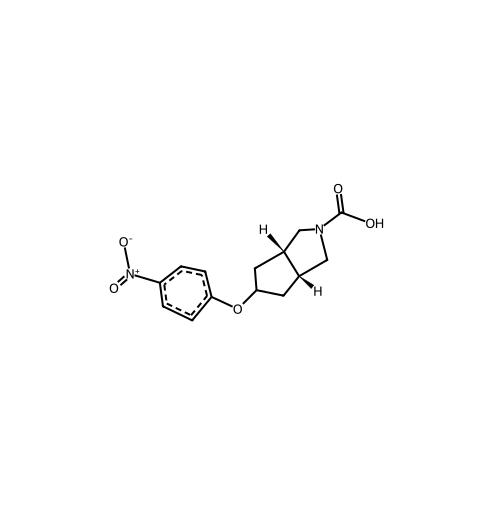 O=C(O)N1C[C@H]2CC(Oc3ccc([N+](=O)[O-])cc3)C[C@H]2C1